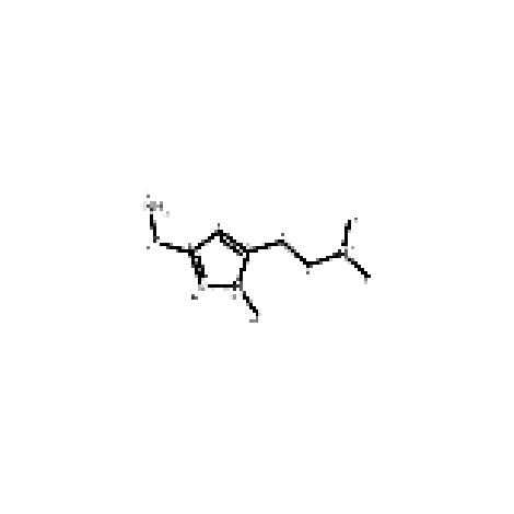 CN(C)CCc1cc(SN)nn1C